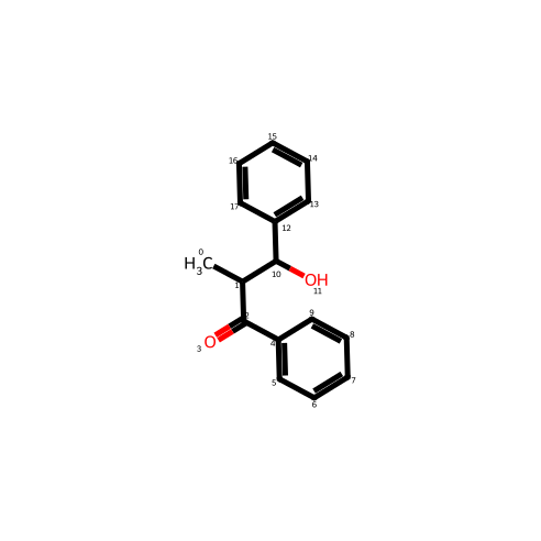 CC(C(=O)c1ccccc1)C(O)c1ccccc1